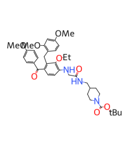 CCOc1c(NCC(=O)NCC2CCN(C(=O)OC(C)(C)C)CC2)ccc(C(=O)c2ccc(OC)cc2)c1Cc1ccc(OC)cc1OC